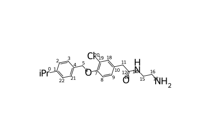 CC(C)c1ccc(COc2ccc(CC(=O)NCCN)cc2Cl)cc1